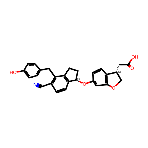 N#Cc1ccc2c(c1Cc1ccc(O)cc1)CC[C@H]2Oc1ccc2c(c1)OC[C@H]2CC(=O)O